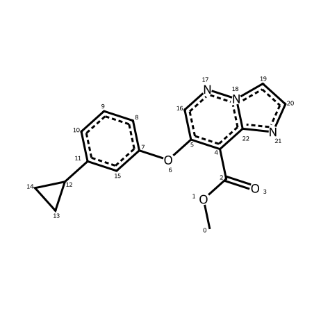 COC(=O)c1c(Oc2cccc(C3CC3)c2)cnn2ccnc12